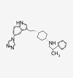 CC(CN[C@H]1CC[C@@H](CCc2c[nH]c3ccc(-n4cnnc4)cc23)CC1)c1ccccc1